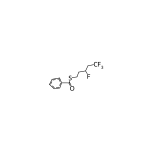 O=C(SCCC(F)CC(F)(F)F)c1ccccc1